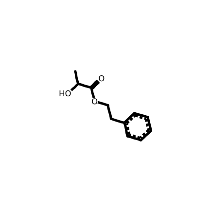 CC(O)C(=O)OCCc1ccccc1